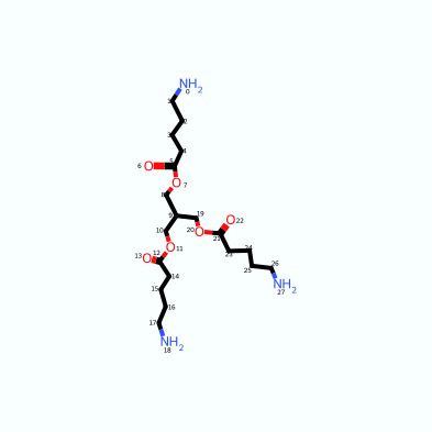 NCCCCC(=O)OCC(COC(=O)CCCCN)COC(=O)CCCCN